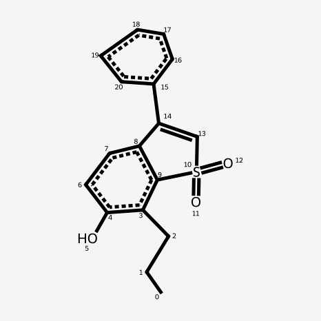 CCCc1c(O)ccc2c1S(=O)(=O)C=C2c1ccccc1